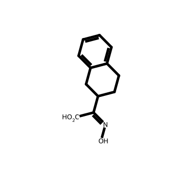 O=C(O)C(=NO)C1CCc2ccccc2C1